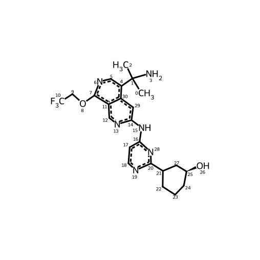 CC(C)(N)c1cnc(OCC(F)(F)F)c2cnc(Nc3ccnc(C4CCC[C@H](O)C4)n3)cc12